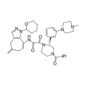 C=C1CC=C(NC(=O)C(=O)N2C[C@@H](C)N(C(=O)C(C)C)C[C@@H]2c2cccc(N3CCN(C)CC3)c2)c2c(cnn2C2CCCCO2)C1